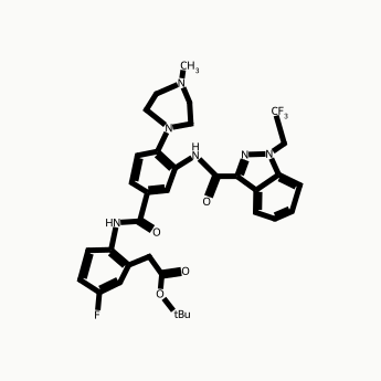 CN1CCN(c2ccc(C(=O)Nc3ccc(F)cc3CC(=O)OC(C)(C)C)cc2NC(=O)c2nn(CC(F)(F)F)c3ccccc23)CC1